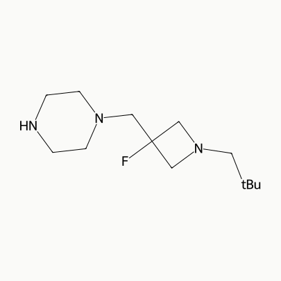 CC(C)(C)CN1CC(F)(CN2CCNCC2)C1